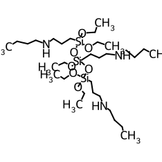 CCCCNCCC[Si](OCC)(OCC)O[Si](CCCNCCCC)(OCC)O[Si](CCCNCCCC)(OCC)OCC